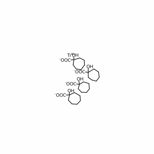 O=C([O-])C1(O)CCCCCC1.O=C([O-])C1(O)CCCCCC1.O=C([O-])C1(O)CCCCCC1.O=C([O-])C1(O)CCCCCC1.[Ti+4]